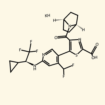 O=C(O)c1nc(C(=O)N2[C@H]3CC[C@@H]2CC3)c(-c2cnc(N[C@@H](C3CC3)C(F)(F)F)cc2C(F)F)s1.[KH]